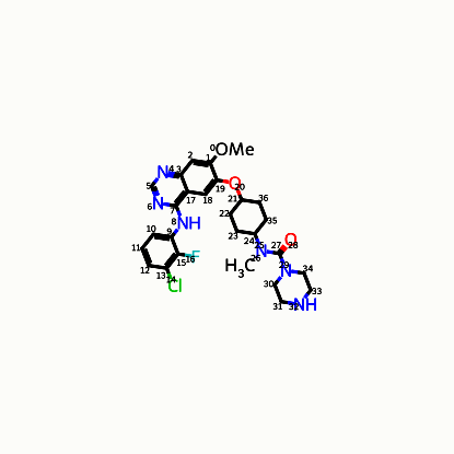 COc1cc2ncnc(Nc3cccc(Cl)c3F)c2cc1OC1CCC(N(C)C(=O)N2CCNCC2)CC1